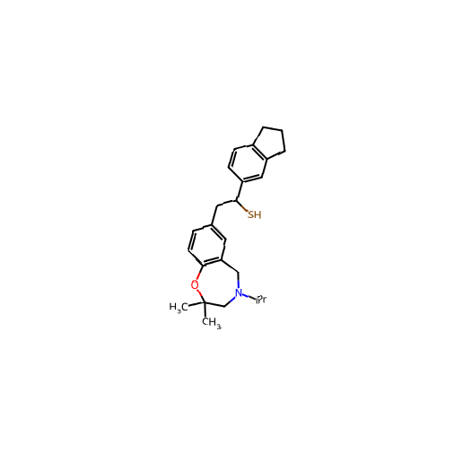 CC(C)N1Cc2cc(CC(S)c3ccc4c(c3)CCC4)ccc2OC(C)(C)C1